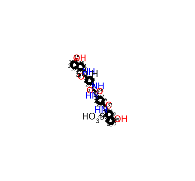 O=C(Nc1ccc(C(=O)Nc2ccc3c(O)cccc3c2S(=O)(=O)O)cc1)C(=O)Nc1ccc(C(=O)Nc2ccc3c(O)cccc3c2S(=O)(=O)O)cc1